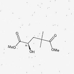 COC(=O)[C@H](O)CC(C)(C)C(=O)OC